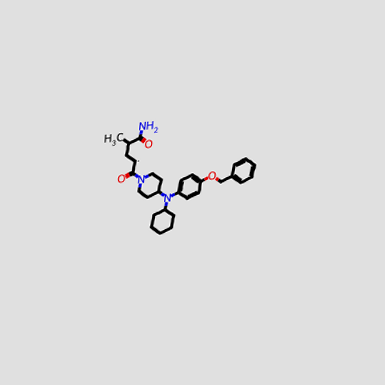 CC(C[CH]C(=O)N1CCC(N(c2ccc(OCc3ccccc3)cc2)C2CCCCC2)CC1)C(N)=O